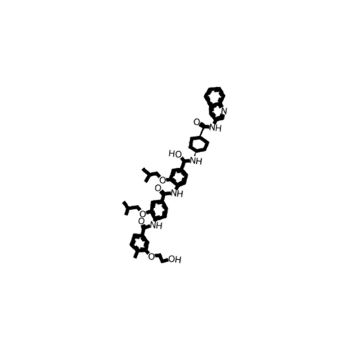 Cc1ccc(C(=O)Nc2ccc(C(=O)Nc3ccc(C(O)N[C@H]4CC[C@H](C(=O)Nc5cnc6ccccc6c5)CC4)cc3OCC(C)C)cc2OCC(C)C)cc1OCCO